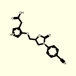 N#Cc1ccc(N2CC(COc3c[nH]cc3CC(=O)O)OC2=O)cc1